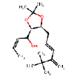 C=C(/C=C/C[C@@H]1OC(C)(C)O[C@@H]1C(O)/C=C\C)C(C)(C)C